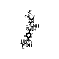 CCOC(=O)c1sc(NC(=N)NC(=O)c2ccc(C(=O)NC(O)C(C)C)cc2)nc1C